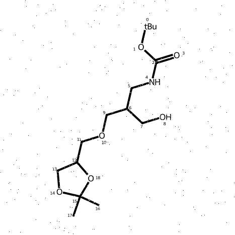 CC(C)(C)OC(=O)NCC(CO)COCC1COC(C)(C)O1